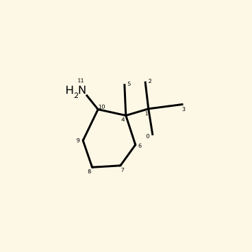 CC(C)(C)C1(C)CCCCC1N